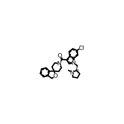 CN1CCC[C@@H]1Cn1cc(C(=O)N2CCC3(CC2)OCc2ccccc23)c2ccc(Cl)cc21